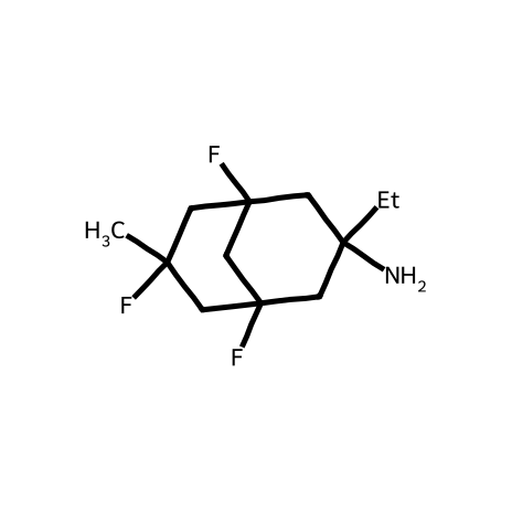 CCC1(N)CC2(F)CC(C)(F)CC(F)(C1)C2